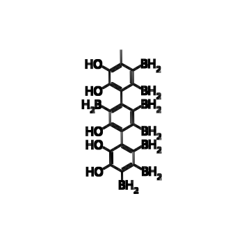 Bc1c(B)c(O)c(O)c(-c2c(B)c(B)c(-c3c(B)c(B)c(C)c(O)c3O)c(B)c2O)c1B